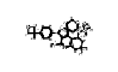 CC(C)c1nc2c(c3c1[C@@H](c1ccc(C4(C)COC4)cc1)OC31CCOCC1)[C@@H](O[Si](C)(C)C(C)(C)C)CC(C)(C)C2